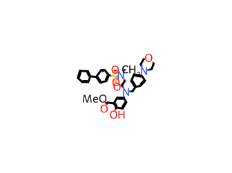 COC(=O)c1cc(N(Cc2ccc(N3CCOCC3)cc2)C(=O)CN(C)S(=O)(=O)c2ccc(-c3ccccc3)cc2)ccc1O